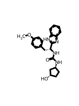 COc1ccc(C[C@@H](NC(=O)N[C@H]2CC[C@H](O)C2)c2nc3ccccc3[nH]2)cc1